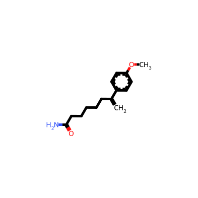 C=C(CCCCCC(N)=O)c1ccc(OC)cc1